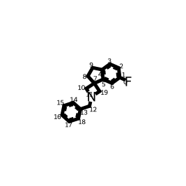 Fc1ccc2c(c1)C1(CC2)CN(Cc2ccccc2)C1